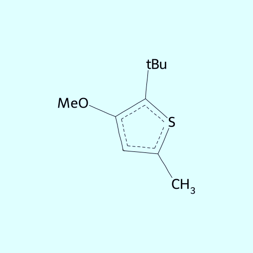 COc1cc(C)sc1C(C)(C)C